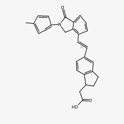 Cc1ccc(N2Cc3c(/C=C/c4ccc5c(c4)CCC5CC(=O)O)cccc3C2=O)cc1